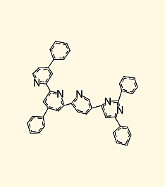 c1ccc(-c2ccnc(-c3cc(-c4ccccc4)cc(-c4ccc(-c5cc(-c6ccccc6)nc(-c6ccccc6)n5)cn4)n3)c2)cc1